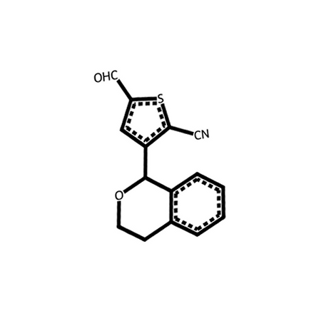 N#Cc1sc(C=O)cc1C1OCCc2ccccc21